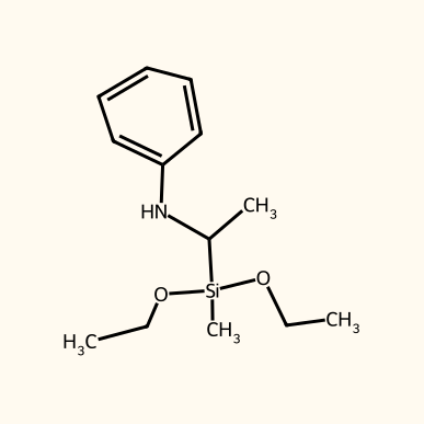 CCO[Si](C)(OCC)C(C)Nc1ccccc1